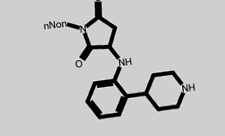 CCCCCCCCCN1C(=O)CC(Nc2ccccc2C2CCNCC2)C1=O